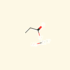 CCC(=O)[O-].CCO.[K+]